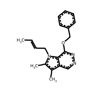 CC=CCn1c(C)c(C)c2cnnc(OCc3ccccc3)c21